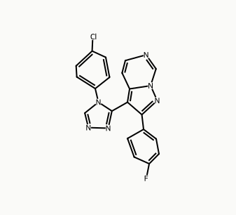 Fc1ccc(-c2nn3cnccc3c2-c2nncn2-c2ccc(Cl)cc2)cc1